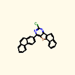 Clc1nc(-c2ccc3c(ccc4ccccc43)c2)c2sc3c4ccccc4ccc3c2n1